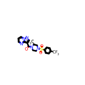 C[C@@H]1CN(S(=O)(=O)c2ccc(C(F)(F)F)cc2)CCN1C(=O)c1cnn2cccnc12